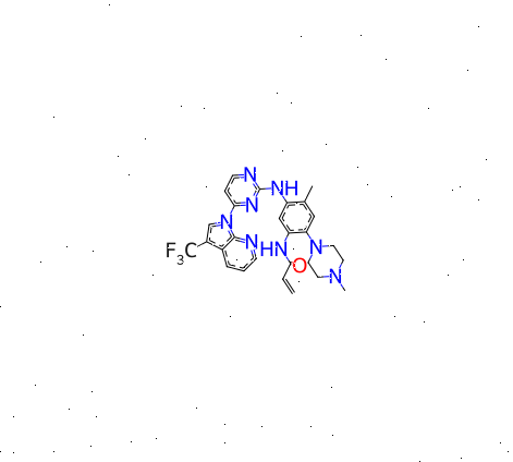 C=CC(=O)Nc1cc(Nc2nccc(-n3cc(C(F)(F)F)c4cccnc43)n2)c(C)cc1N1CCN(C)CC1